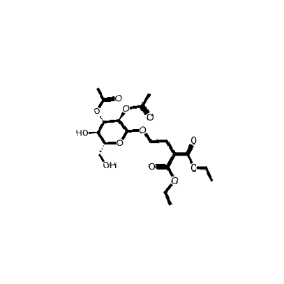 CCOC(=O)C(CCOC1O[C@H](CO)[C@@H](O)[C@H](OC(C)=O)[C@H]1OC(C)=O)C(=O)OCC